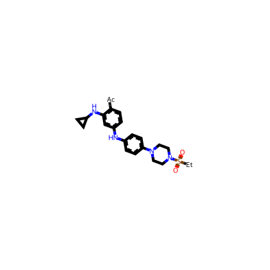 CCS(=O)(=O)N1CCN(c2ccc(Nc3ccc(C(C)=O)c(NC4CC4)c3)cc2)CC1